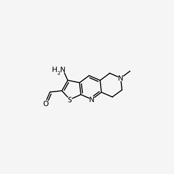 CN1CCc2nc3sc(C=O)c(N)c3cc2C1